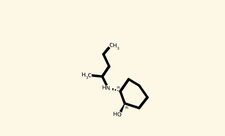 CCCC(C)N[C@@H]1CCCC[C@H]1O